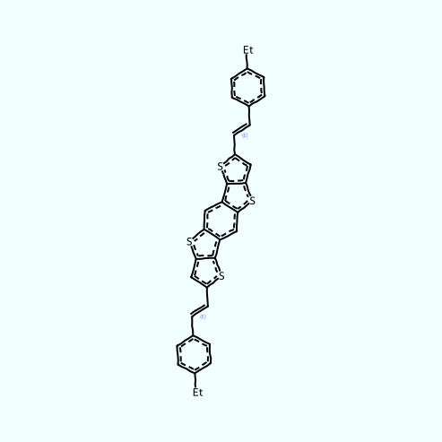 CCc1ccc(/C=C/c2cc3sc4cc5c(cc4c3s2)sc2cc(/C=C/c3ccc(CC)cc3)sc25)cc1